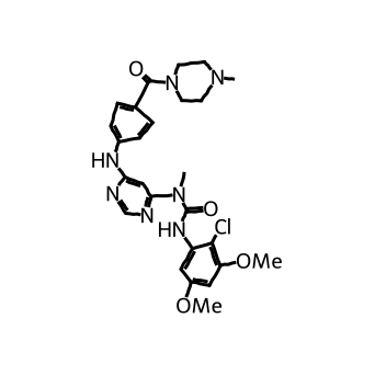 COc1cc(NC(=O)N(C)c2cc(Nc3ccc(C(=O)N4CCN(C)CC4)cc3)ncn2)c(Cl)c(OC)c1